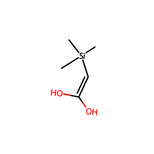 C[Si](C)(C)C=C(O)O